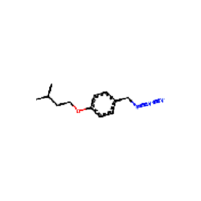 CC(C)CCOc1ccc(CN=[N+]=[N-])cc1